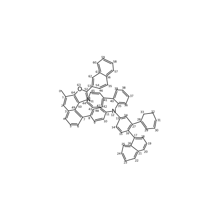 Cc1cc2cccc(-c3ccc(N(c4ccc(-c5cccc6ccccc56)c(C5=CC=CCC5)c4)c4ccccc4-c4ccccc4)cc3)c2c2nc(-c3ccc4ccccc4c3)oc12